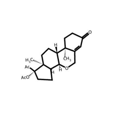 CC(=O)O[C@@]1(C(C)=O)CC[C@H]2[C@@H]3OCC4=CC(=O)CC[C@]4(C)[C@H]3CC[C@@]21C